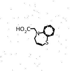 O=C(O)CN1CC=CSc2ccccc21